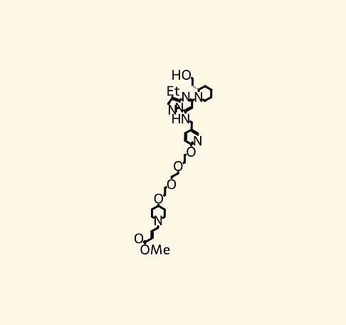 CCc1cnn2c(NCc3ccc(OCCOCCOCCOC4CCN(C/C=C/C(=O)OC)CC4)nc3)cc(N3CCCC[C@H]3CCO)nc12